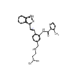 CCN(CC)CCNCc1ccc(/C=C/c2n[nH]c3ccccc23)c(NC(=O)c2sccc2C)c1